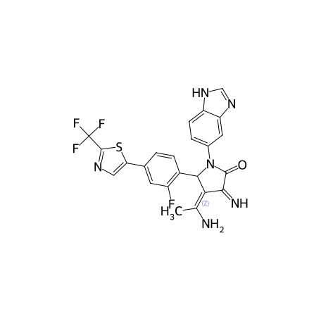 C/C(N)=C1/C(=N)C(=O)N(c2ccc3[nH]cnc3c2)C1c1ccc(-c2cnc(C(F)(F)F)s2)cc1F